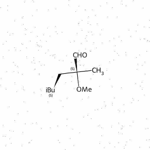 CC[C@H](C)C[C@@](C)(C=O)OC